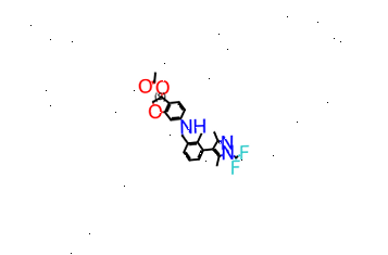 CC(=O)O[C@@H]1COc2cc(NCc3cccc(-c4c(C)nn(C(F)F)c4C)c3C)ccc21